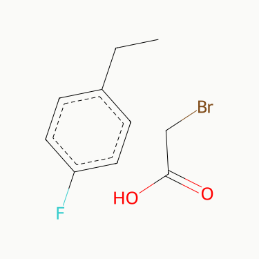 CCc1ccc(F)cc1.O=C(O)CBr